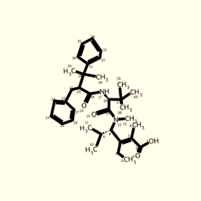 CCC(=C(C)C(=O)O)[C@H](C(C)C)N(C)C(=O)[C@@H](NC(=O)C(Cc1ccccc1)C(C)(C)c1ccccc1)C(C)(C)C